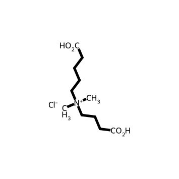 C[N+](C)(CCCCC(=O)O)CCCC(=O)O.[Cl-]